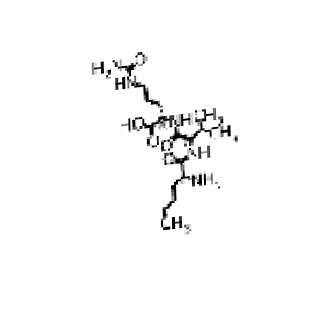 CCCC[C@H](N)C(=O)N[C@H](C(=O)N[C@@H](CCCNC(N)=O)C(=O)O)C(C)C